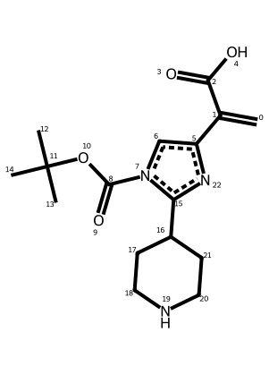 C=C(C(=O)O)c1cn(C(=O)OC(C)(C)C)c(C2CCNCC2)n1